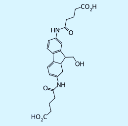 O=C(O)CCCC(=O)NC1=CC=C2c3ccc(NC(=O)CCCC(=O)O)cc3C(CO)C2C1